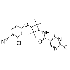 Cc1nc(Cl)ncc1C(=O)NC1C(C)(C)C(Oc2ccc(C#N)c(Cl)c2)C1(C)C